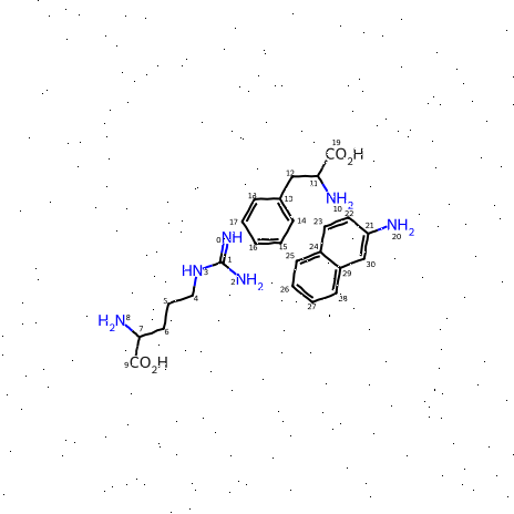 N=C(N)NCCCC(N)C(=O)O.NC(Cc1ccccc1)C(=O)O.Nc1ccc2ccccc2c1